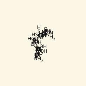 Nc1ccn([C@@H]2O[C@H](COP(=O)(O)OP(=O)(O)OC[C@H]3Oc4nc5nc(N)[nH]c(=O)c5nc4C(S)=C3S)[C@@H](O)[C@H]2O)c(=O)n1